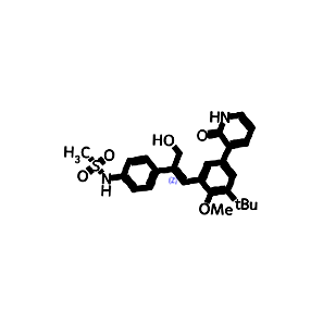 COc1c(/C=C(\CO)c2ccc(NS(C)(=O)=O)cc2)cc(-c2ccc[nH]c2=O)cc1C(C)(C)C